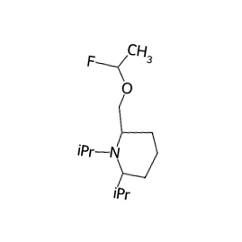 CC(F)OCC1CCCC(C(C)C)N1C(C)C